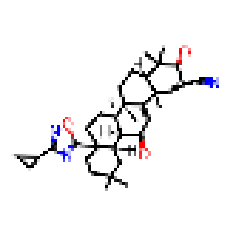 CC1(C)CC[C@]2(c3nc(C4CC4)no3)CC[C@]3(C)[C@H](C(=O)C=C4[C@@]5(C)C=C(C#N)C(=O)C(C)(C)[C@@H]5CC[C@]43C)[C@@H]2C1